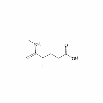 CNC(=O)C(C)CCC(=O)O